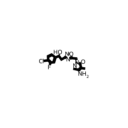 Cc1c(N)cnn(Cc2nc(C[C@H](O)c3ccc(Cl)c(F)c3)no2)c1=O